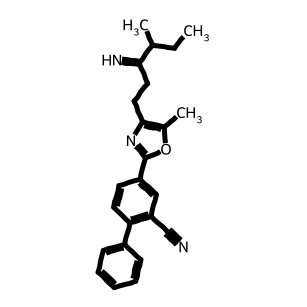 CCC(C)C(=N)CCc1nc(-c2ccc(-c3ccccc3)c(C#N)c2)oc1C